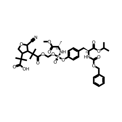 COC(=O)[C@H](C)NP(=O)(OCOC(=O)C(C)(C)C1C(C#N)OCC1C(C)(C)C(=O)O)Oc1ccc(C[C@H](NC(=O)OCc2ccccc2)C(=O)OC(C)C)cc1